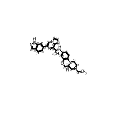 C[C@H](Nc1ccc2c(c1)OC[C@H]1CN(CC(F)(F)F)CCN21)c1nc(-c2ccc3cn[nH]c3c2)cn2ccnc12